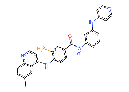 Cc1ccc2nccc(Nc3ccc(C(=O)Nc4cccc(Nc5ccncc5)c4)cc3P)c2c1